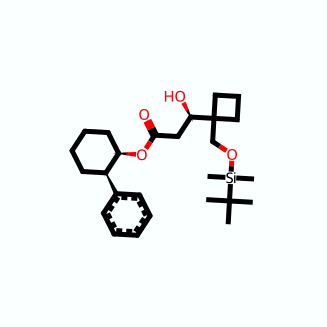 CC(C)(C)[Si](C)(C)OCC1([C@H](O)CC(=O)O[C@@H]2CCCC[C@@H]2c2ccccc2)CCC1